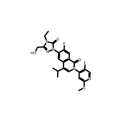 CCn1c(CO)nn(-c2cc3c(C(C)C)cn(-c4cc(OC)ncc4F)c(=O)c3cc2F)c1=O